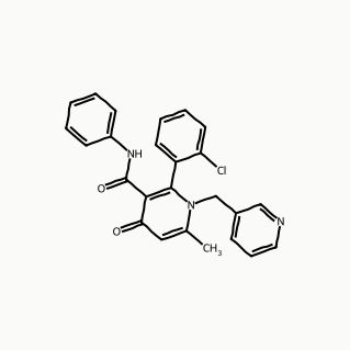 Cc1cc(=O)c(C(=O)Nc2ccccc2)c(-c2ccccc2Cl)n1Cc1cccnc1